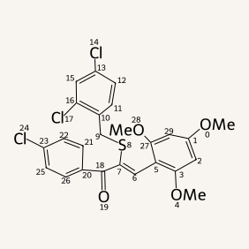 COc1cc(OC)c(C=C(SCc2ccc(Cl)cc2Cl)C(=O)c2ccc(Cl)cc2)c(OC)c1